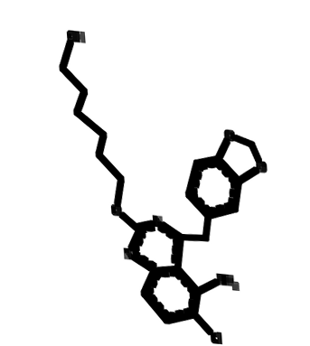 Nc1c(Cl)ccc2nc(OCCCCCCO)nc(Cc3ccc4c(c3)OCO4)c12